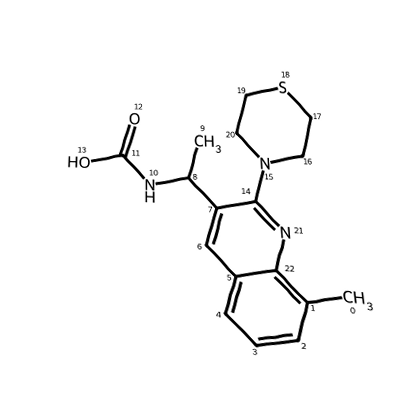 Cc1cccc2cc(C(C)NC(=O)O)c(N3CCSCC3)nc12